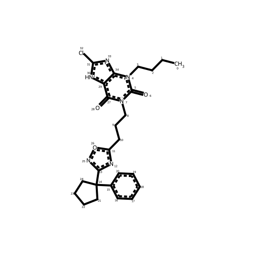 CCCCn1c(=O)n(CCCc2nc(C3(c4ccccc4)CCCC3)no2)c(=O)c2[nH]c(Cl)nc21